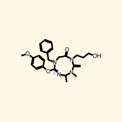 C=C1N(CCCO)C(=O)CN(Cc2ccccc2)/C(Oc2ccc(OC)cc2)=N\C(C)N1C